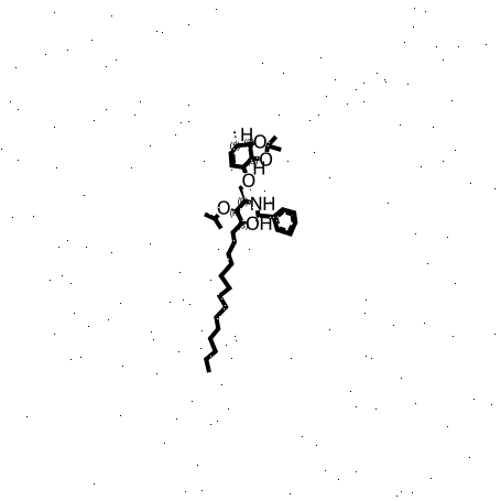 CCCCCCCCCCCCCC[C@H](O)[C@H](OC(C)C)[C@@H](COC1C=C[C@H](C)[C@@H]2OC(C)(C)O[C@@H]12)NCc1ccccc1